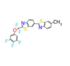 Cc1ccc2nc(-c3ccc4nc(C(F)(F)Oc5cc(F)c(F)c(F)c5)sc4c3)sc2c1